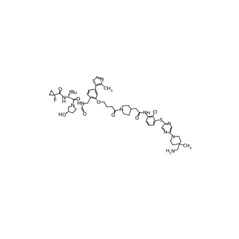 Cc1ncsc1-c1ccc(CNC(=O)[C@@H]2C[C@@H](O)CN2C(=O)[C@@H](NC(=O)C2(F)CC2)C(C)(C)C)c(OCCCC(=O)N2CCC(CC(=O)Nc3cccc(Sc4cnc(N5CCC(C)(CN)CC5)cn4)c3Cl)CC2)c1